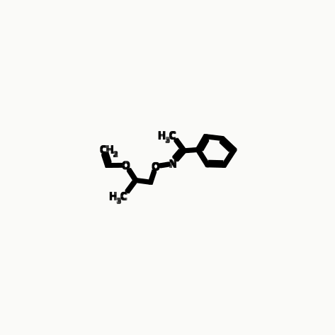 C=COC(C)CON=C(C)c1ccccc1